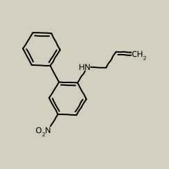 C=CCNc1ccc([N+](=O)[O-])cc1-c1ccccc1